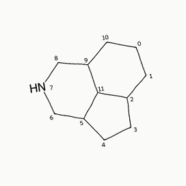 C1CC2CCC3CNCC(C1)C23